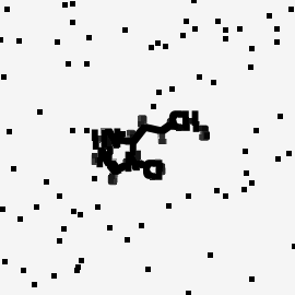 CCCC1NN=CN1Cl